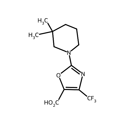 CC1(C)CCCN(c2nc(C(F)(F)F)c(C(=O)O)o2)C1